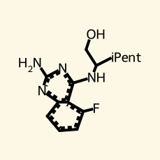 CCCC(C)C(CO)Nc1nc(N)nc2cccc(F)c12